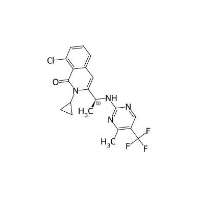 Cc1nc(N[C@@H](C)c2cc3cccc(Cl)c3c(=O)n2C2CC2)ncc1C(F)(F)F